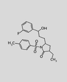 CCC1CC(CCC(O)c2cccc(F)c2)N(S(=O)(=O)c2ccc(C)cc2)C1=O